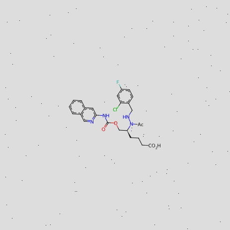 CC(=O)N(NCc1ccc(F)cc1Cl)[C@@H](CCCC(=O)O)COC(=O)Nc1cc2ccccc2cn1